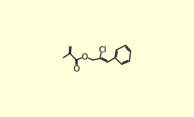 C=C(C)C(=O)OCC(Cl)=Cc1ccccc1